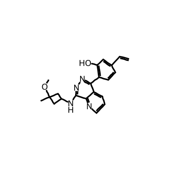 C=Cc1ccc(-c2nnc(NC3CC(C)(OC)C3)c3ncccc23)c(O)c1